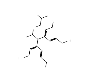 [CH2]C(OCC(C)O)C(C(C=CCO)=CCO)C(C=CCO)=CCO